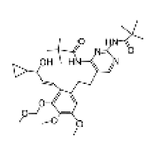 COCOc1c(C=CC(O)C2CC2)c(CCc2cnc(NC(=O)C(C)(C)C)nc2NC(=O)C(C)(C)C)cc(OC)c1OC